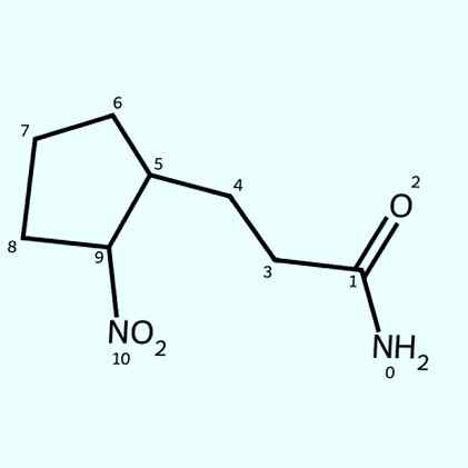 NC(=O)CCC1CCCC1[N+](=O)[O-]